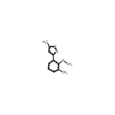 COc1c(C)cccc1-c1cc(C)no1